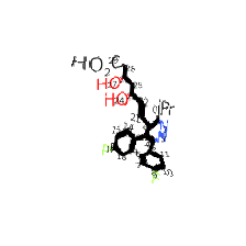 CC(C)c1nnc(-c2ccc(F)cc2)c(-c2ccc(F)cc2)c1/C=C/[C@@H](O)C[C@@H](O)CC(=O)O